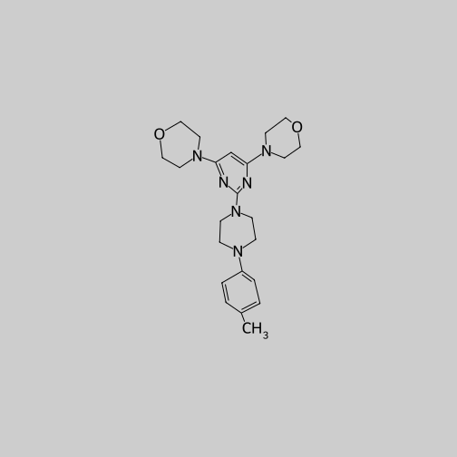 Cc1ccc(N2CCN(c3nc(N4CCOCC4)cc(N4CCOCC4)n3)CC2)cc1